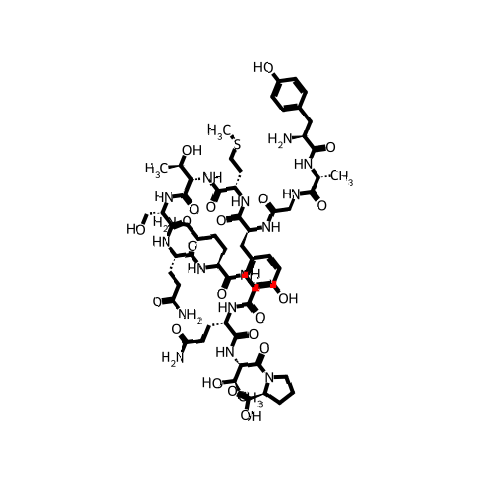 CSCC[C@H](NC(=O)[C@H](Cc1ccccc1)NC(=O)CNC(=O)[C@@H](C)NC(=O)[C@@H](N)Cc1ccc(O)cc1)C(=O)N[C@H](C(=O)N[C@@H](CO)C(=O)N[C@@H](CCC(N)=O)C(=O)N[C@@H](CCCCN)C(=O)N[C@@H](CO)C(=O)N[C@@H](CCC(N)=O)C(=O)N[C@H](C(=O)N1CCC[C@H]1C(=O)O)[C@@H](C)O)[C@@H](C)O